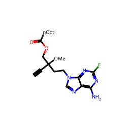 C#CC(CCn1cnc2c(N)nc(F)nc21)(COC(=O)CCCCCCCC)OC